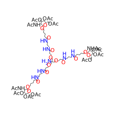 CC(=O)N[C@H]1[C@H](OCCCCC(=O)NCCCNC(=O)CCOCC(N)(COCCC(=O)NCCCNC(=O)CCCCO[C@@H]2O[C@H](COC(C)=O)[C@H](OC(C)=O)[C@H](OC(C)=O)[C@H]2NC(C)=O)COCCC(=O)NCCCNC(=O)CCCCO[C@@H]2O[C@H](COC(C)=O)[C@H](OC(C)=O)[C@H](OC(C)=O)[C@H]2NC(C)=O)O[C@H](COC(C)=O)[C@H](OC(C)=O)[C@@H]1OC(C)=O